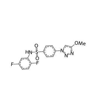 COc1cn(-c2ccc(S(=O)(=O)Nc3cc(F)ccc3F)cc2)nn1